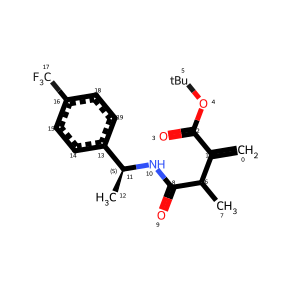 C=C(C(=O)OC(C)(C)C)C(C)C(=O)N[C@@H](C)c1ccc(C(F)(F)F)cc1